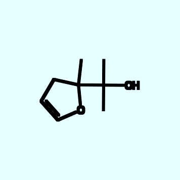 CC(C)(O)C1(C)CC=CO1